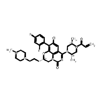 C=CC(=O)N1C[C@H](C)N(c2nc(=O)n3c4c(c(-c5ccc(F)cc5F)c(Cl)cc24)O[C@@H](CCCN2CCN(C)CC2)C3)C[C@H]1C